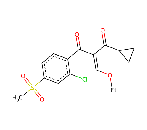 CCOC=C(C(=O)c1ccc(S(C)(=O)=O)cc1Cl)C(=O)C1CC1